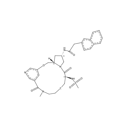 CN1CCCC[C@H](NS(C)(=O)=O)C(=O)N2C[C@@H](NC(=O)Cc3ccc4ccccc4c3)C[C@H]2COc2cncc(c2)C1=O